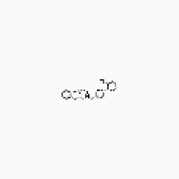 Clc1ccccc1-c1ccc(CN2CCNC(Cc3ccccc3)C2)cc1